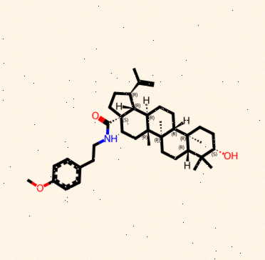 C=C(C)[C@@H]1CC[C@]2(C(=O)NCCc3ccc(OC)cc3)CC[C@]3(C)[C@H](CC[C@@H]4[C@@]5(C)CC[C@H](O)C(C)(C)[C@@H]5CC[C@]43C)[C@@H]12